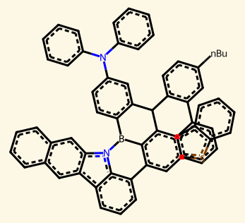 CCCCc1ccc(C2c3cc(N(c4ccccc4)c4ccccc4)ccc3B3c4c(cc5sc6ccccc6c5c42)-c2cccc4c5cc6ccccc6cc5n3c24)c(-c2ccccc2)c1